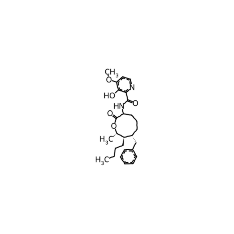 CCCC[C@@H]1[C@@H](Cc2ccccc2)CCCC(NC(=O)c2nccc(OC)c2O)C(=O)O[C@H]1C